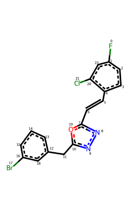 Fc1ccc(/C=C/c2nnc(Cc3cccc(Br)c3)o2)c(Cl)c1